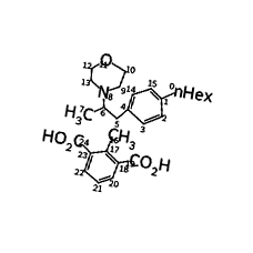 CCCCCCc1ccc(CC(C)N2CCOCC2)cc1.Cc1c(C(=O)O)cccc1C(=O)O